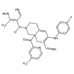 CN/C(C)=C(\C=N)[S+]([O-])N1CCC2=CC(Nc3ccc(F)cc3)=C(C=N)CC2(C(=O)c2cc(C)ccn2)C1